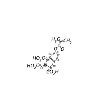 C=C(C)C(=O)Oc1ccc(CC(C(=O)O)N(CC(=O)O)CC(=O)O)cc1